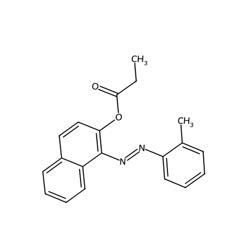 CCC(=O)Oc1ccc2ccccc2c1N=Nc1ccccc1C